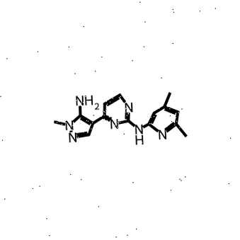 Cc1cc(C)nc(Nc2nccc(-c3cnn(C)c3N)n2)c1